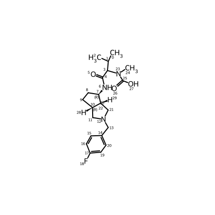 CC(C)C(C(=O)N[C@@H]1CC[C@H]2CN(Cc3ccc(F)cc3)C[C@H]21)N(C)C(=O)O